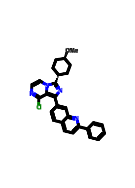 CO[C@H]1CC[C@H](c2nc(-c3ccc4ccc(-c5ccccc5)nc4c3)c3c(Cl)nccn32)CC1